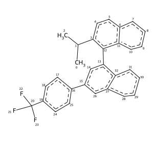 CC(C)c1ccc2ccccc2c1-c1cc(-c2ccc(C(F)(F)F)cc2)cc2ccccc12